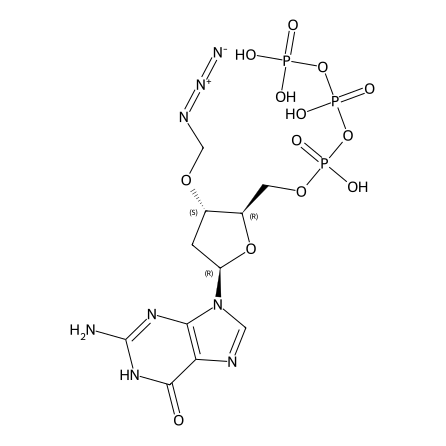 [N-]=[N+]=NCO[C@H]1C[C@H](n2cnc3c(=O)[nH]c(N)nc32)O[C@@H]1COP(=O)(O)OP(=O)(O)OP(=O)(O)O